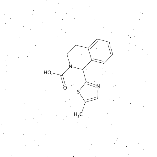 Cc1cnc(C2c3ccccc3CCN2C(=O)O)s1